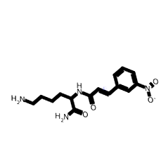 NCCCCC(NC(=O)/C=C/c1cccc([N+](=O)[O-])c1)C(N)=O